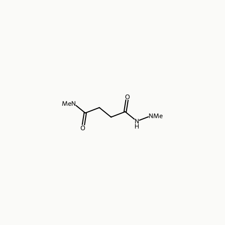 CNNC(=O)CCC(=O)NC